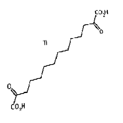 O=C(O)C(=O)CCCCCCCCCCC(=O)C(=O)O.[Ti]